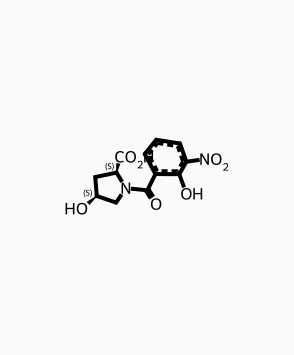 O=C(O)[C@@H]1C[C@H](O)CN1C(=O)c1cccc([N+](=O)[O-])c1O